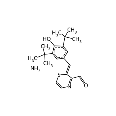 CC(C)(C)c1cc(C=C2SC=CN=C2C=O)cc(C(C)(C)C)c1O.N